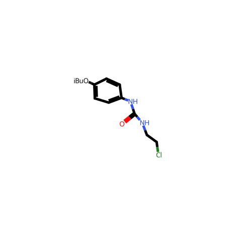 CC(C)COc1ccc(NC(=O)NCCCl)cc1